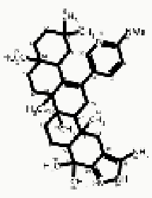 CNc1ccc(C2=C3C4CC(C)(C)CCC4(C(=O)O)CCC3(C)C3(C)CCC4C(C)(C)c5n[nH]c(N)c5CC4(C)C3C2)cn1